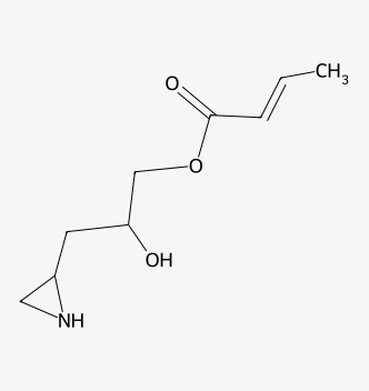 CC=CC(=O)OCC(O)CC1CN1